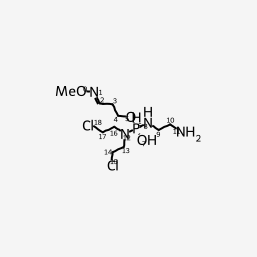 CO/N=C/CCO[PH](O)(NCCN)N(CCCl)CCCl